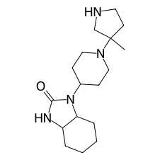 CC1(N2CCC(N3C(=O)NC4CCCCC43)CC2)CCNC1